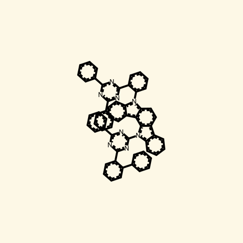 c1ccc(-c2nc(-c3ccccc3)nc(-c3ccccc3-n3c4ccccc4c4c3ccc3c5ccccc5n(-c5nc(-c6ccccc6)nc(-c6ccccc6-c6ccccc6)n5)c34)n2)cc1